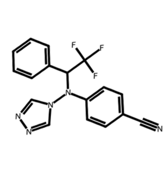 N#Cc1ccc(N(C(c2ccccc2)C(F)(F)F)n2cnnc2)cc1